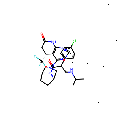 CC(C)NC[C@@H](C(=O)N1C2CCC1CN(c1ncnc3c1[C@H](C(F)(F)F)CC(=O)N3)C2)c1ccc(Cl)cc1